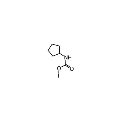 O=C(NC1CCCC1)OI